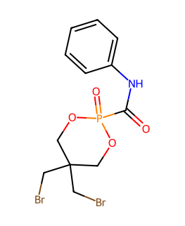 O=C(Nc1ccccc1)P1(=O)OCC(CBr)(CBr)CO1